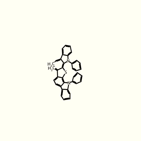 C=c1/c(=c2\c(=C/C)c3ccccc3n2-c2ccccc2)sc2c1ccc1c3ccccc3n(-c3ccccc3)c12